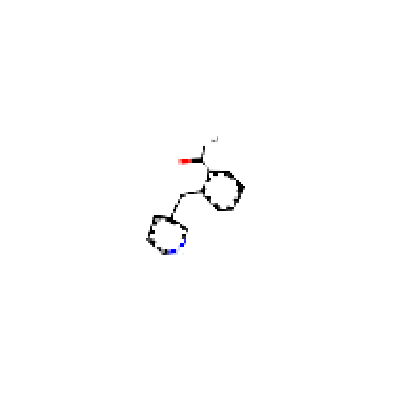 COC(=O)c1ccccc1Cc1cccnc1